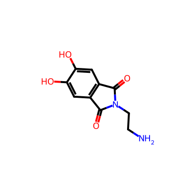 NCCN1C(=O)c2cc(O)c(O)cc2C1=O